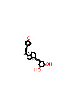 C[C@H](C#Cc1ccc(O)cc1)[C@H]1CC[C@H]2/C(=C/C=C3C[C@@H](O)C[C@H](O)C3)CCC[C@]12C